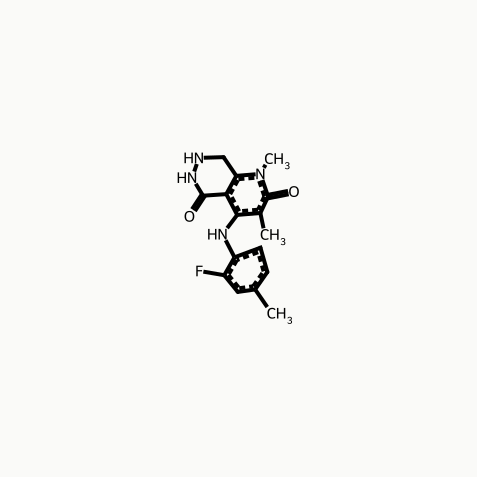 Cc1ccc(Nc2c3c(n(C)c(=O)c2C)CNNC3=O)c(F)c1